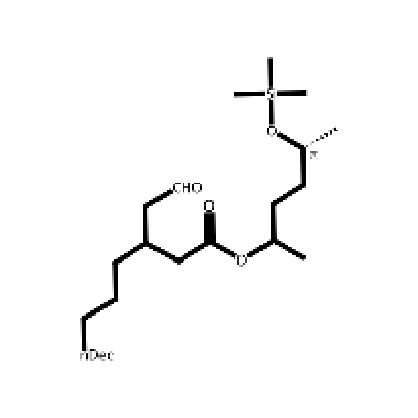 CCCCCCCCCCCCCC(CC=O)CC(=O)OC(C)CC[C@@H](C)O[Si](C)(C)C